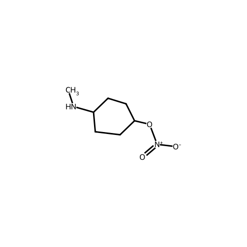 CNC1CCC(O[N+](=O)[O-])CC1